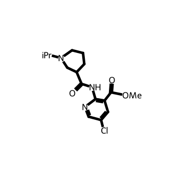 COC(=O)c1cc(Cl)cnc1NC(=O)C1CCCN(C(C)C)C1